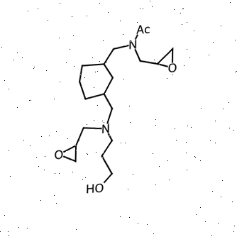 CC(=O)N(CC1CCCC(CN(CCCO)CC2CO2)C1)CC1CO1